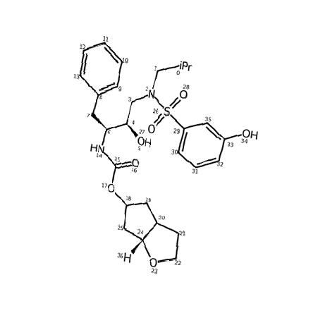 CC(C)CN(C[C@@H](O)[C@H](Cc1ccccc1)NC(=O)OC1CC2CCO[C@@H]2C1)S(=O)(=O)c1cccc(O)c1